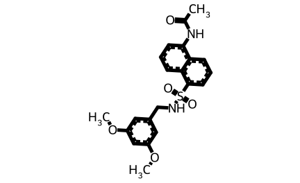 COc1cc(CNS(=O)(=O)c2cccc3c(NC(C)=O)cccc23)cc(OC)c1